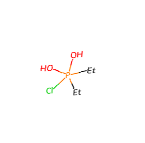 CCP(O)(O)(Cl)CC